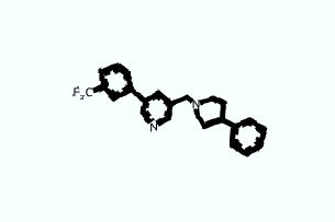 FC(F)(F)c1cccc(-c2cncc(CN3CC=C(c4ccccc4)CC3)c2)c1